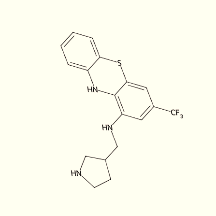 FC(F)(F)c1cc(NCC2CCNC2)c2c(c1)Sc1ccccc1N2